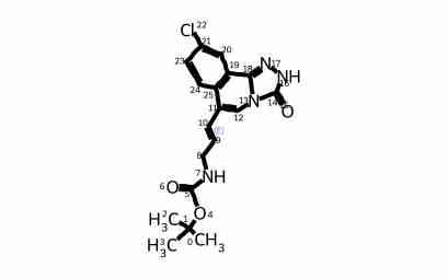 CC(C)(C)OC(=O)NC/C=C/c1cn2c(=O)[nH]nc2c2cc(Cl)ccc12